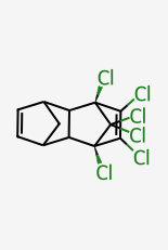 ClC1=C(Cl)[C@]2(Cl)C3C4C=CC(C4)C3[C@@]1(Cl)C2(Cl)Cl